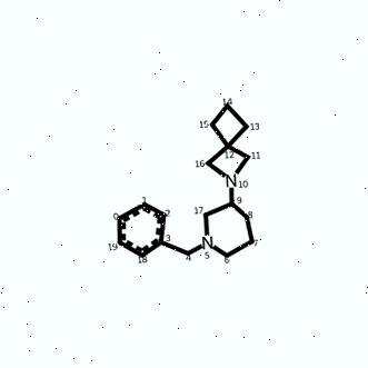 c1ccc(CN2CCCC(N3CC4(CCC4)C3)C2)cc1